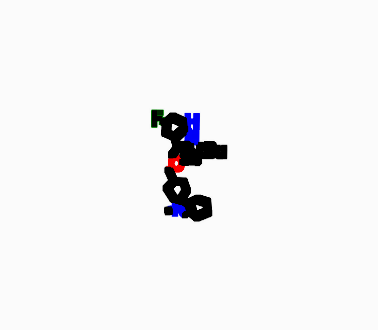 CN(C)C1(c2ccccc2)CCC(COCc2c([Si](C)(C)C(C)(C)C)[nH]c3ccc(F)cc23)CC1